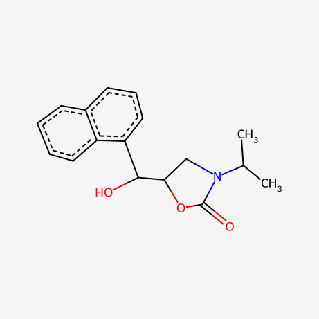 CC(C)N1CC(C(O)c2cccc3ccccc23)OC1=O